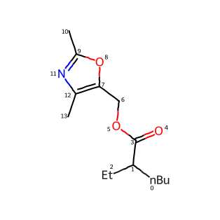 CCCCC(CC)C(=O)OCc1oc(C)nc1C